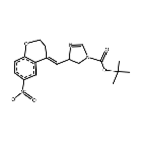 CC(C)(C)OC(=O)N1C=NC(/C=C2\CCOc3ccc([N+](=O)[O-])cc32)C1